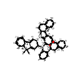 CC1(C)C2=CC(N(c3ccccc3-c3ccc4ccccc4c3)c3cccc4c3oc3ccc5ccccc5c34)CC=C2c2ccccc21